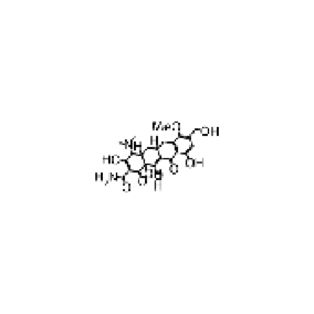 COc1c(CO)cc(O)c2c1C[C@H]1C[C@H]3[C@H](N(C)C)C(O)=C(C(N)=O)C(=O)[C@@]3(O)C(O)=C1C2=O